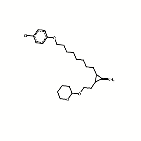 C=C1C(CCCCCCCCOc2ccc(Cl)cc2)C1CCOC1CCCCO1